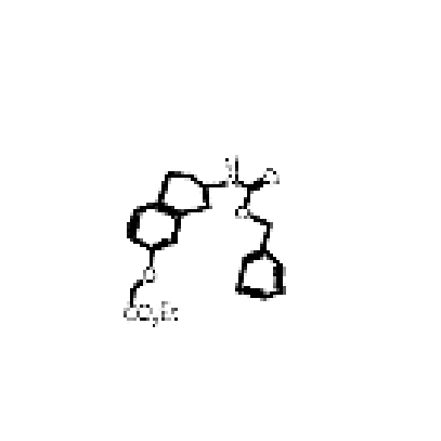 CCOC(=O)COc1ccc2c(c1)CC(NC(=O)OCc1ccccc1)CC2